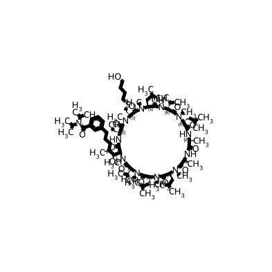 CC[C@H]1NC(=O)[C@H]([C@H](O)[C@H](C)CCCc2cccc(C(=O)N(C(C)C)C(C)C)c2)N(C)C(=O)[C@@H](C(C)C)N(C)C(=O)[C@@H](CC(C)C)N(C)C(=O)[C@H](CC(C)C)N(C)C(=O)[C@H](C)NC(=O)[C@@H](C)NC(=O)[C@@H](CC(C)C)N(C)C(=O)[C@@H](C(C)C)NC(=O)[C@H](CC(C)C)N(C)C(=O)[C@@H](CSCCCCO)N(C)C1=O